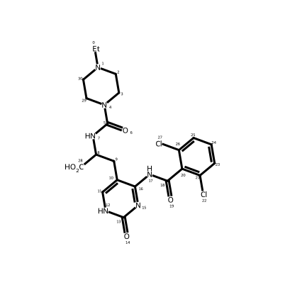 CCN1CCN(C(=O)NC(Cc2c[nH]c(=O)nc2NC(=O)c2c(Cl)cccc2Cl)C(=O)O)CC1